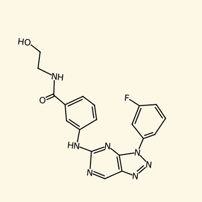 O=C(NCCO)c1cccc(Nc2ncc3nnn(-c4cccc(F)c4)c3n2)c1